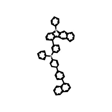 C1=CC(c2ccc(-c3cccc4ccccc34)cc2)CC=C1N(c1ccccc1)c1cccc(-c2cccc3c2c2cc4ccccc4cc2n3-c2ccccc2)c1